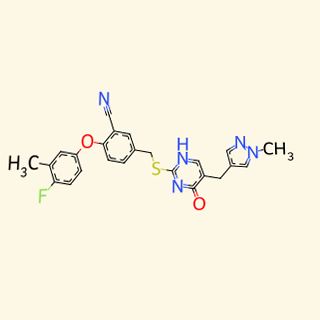 Cc1cc(Oc2ccc(CSc3nc(=O)c(Cc4cnn(C)c4)c[nH]3)cc2C#N)ccc1F